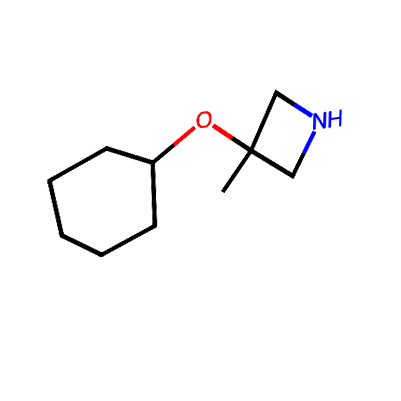 CC1(OC2CCCCC2)CNC1